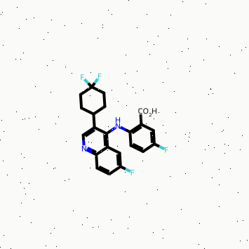 O=C(O)c1cc(F)ccc1Nc1c(C2CCC(F)(F)CC2)cnc2ccc(F)cc12